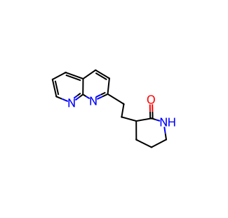 O=C1NCCCC1CCc1ccc2cccnc2n1